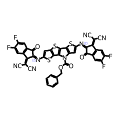 N#CC(C#N)=C1/C(=N/c2cc3c(s2)c2sc4cc(/N=C5\C(=O)c6cc(F)c(F)cc6C5=C(C#N)C#N)sc4c2n3C(=O)OCc2ccccc2)C(=O)c2cc(F)c(F)cc21